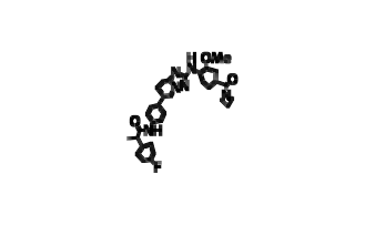 COc1cc(C(=O)N2CCC2)ccc1Nc1nc2ccc(-c3ccc(NC(=O)C(C)c4ccc(F)cc4)cc3)cn2n1